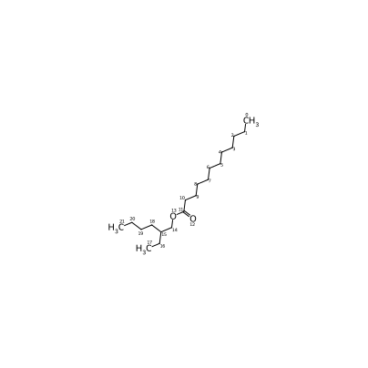 CCCCCCCCCCCC(=O)OCC(CC)CCCC